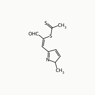 CC(=S)S/C(C=O)=C\C1=NC(C)C=C1